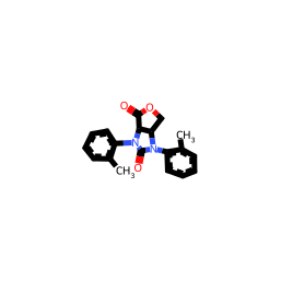 Cc1ccccc1N1C(=O)N(c2ccccc2C)C2C(=O)OCC21